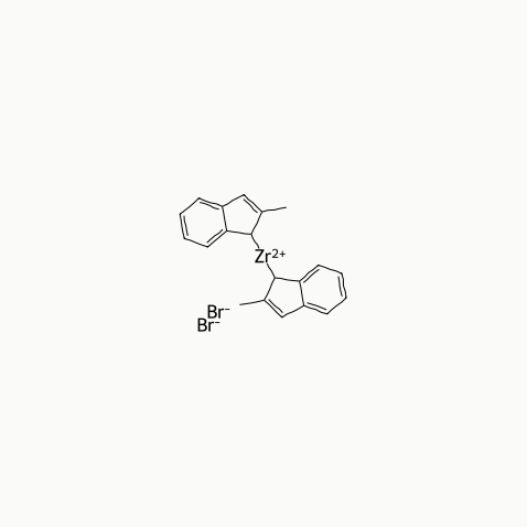 CC1=Cc2ccccc2[CH]1[Zr+2][CH]1C(C)=Cc2ccccc21.[Br-].[Br-]